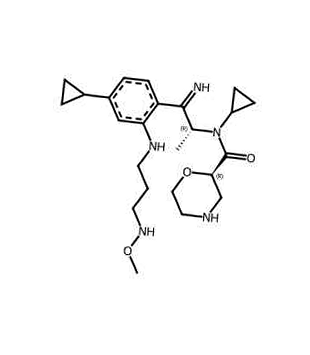 CONCCCNc1cc(C2CC2)ccc1C(=N)[C@@H](C)N(C(=O)[C@H]1CNCCO1)C1CC1